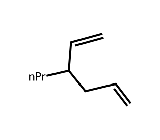 C=CCC(C=C)CCC